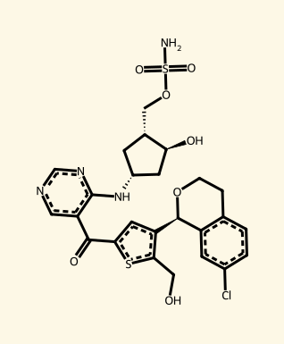 NS(=O)(=O)OC[C@H]1C[C@@H](Nc2ncncc2C(=O)c2cc([C@H]3OCCc4ccc(Cl)cc43)c(CO)s2)C[C@@H]1O